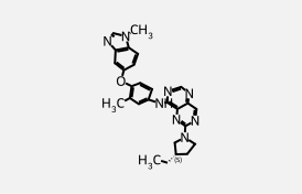 CC[C@H]1CCN(c2ncc3ncnc(Nc4ccc(Oc5ccc6c(c5)ncn6C)c(C)c4)c3n2)C1